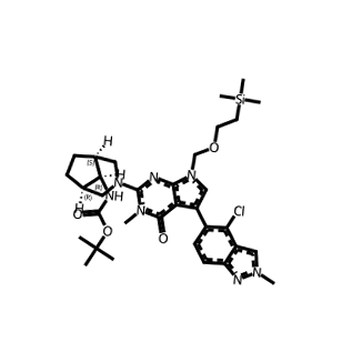 Cn1cc2c(Cl)c(-c3cn(COCC[Si](C)(C)C)c4nc(N5C[C@H]6CC[C@@H](C5)[C@H]6NC(=O)OC(C)(C)C)n(C)c(=O)c34)ccc2n1